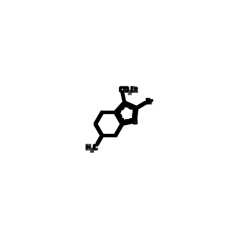 CCOC(=O)c1c(Br)sc2c1CCC(C)C2